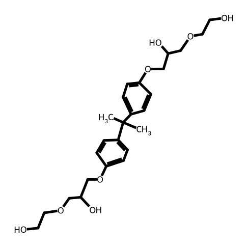 CC(C)(c1ccc(OCC(O)COCCO)cc1)c1ccc(OCC(O)COCCO)cc1